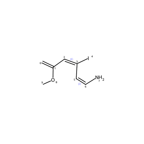 C=C(/C=C(I)\C=C/N)OC